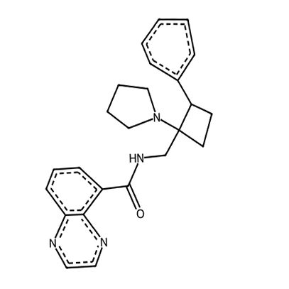 O=C(NCC1(N2CCCC2)CCC1c1ccccc1)c1cccc2nccnc12